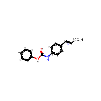 O=C(O)/C=C/c1ccc(NC(=O)Oc2ccccc2)cc1